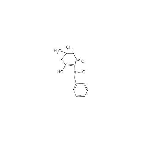 CC1(C)CC(=O)C([S+]([O-])Cc2ccccc2)=C(O)C1